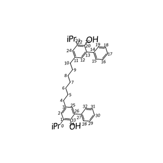 CC(C)c1cc(CCCCCCCc2cc(-c3ccccc3)c(O)c(C(C)C)c2)cc(-c2ccccc2)c1O